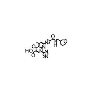 Cc1cc(N2CC(C(=O)NCC3CCCOC3)C2)nc2c1c(=O)c(C(=O)O)cn2-c1ncns1